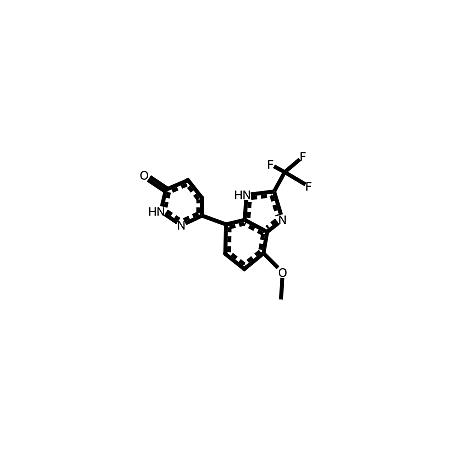 COc1ccc(-c2ccc(=O)[nH]n2)c2[nH]c(C(F)(F)F)nc12